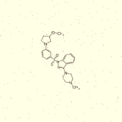 COC1CCN(c2cccc(S(=O)(=O)n3nc(N4CCN(C)CC4)c4ccccc43)c2)C1